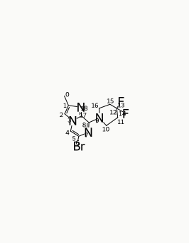 Cc1cn2cc(Br)nc(N3CCC(F)(F)CC3)c2n1